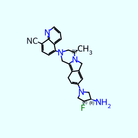 C[C@@H]1CN(c2ccc(C#N)c3ncccc23)CC2=C3CC=C(N4C[C@@H](N)[C@H](F)C4)C=C3CN21